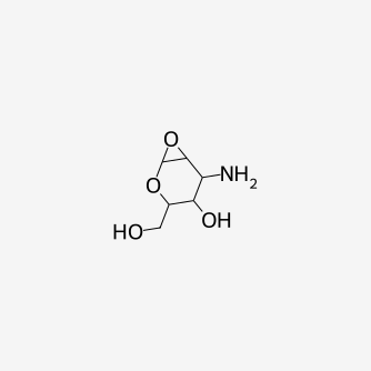 NC1C(O)C(CO)OC2OC21